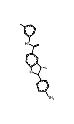 C=C(Nc1cccc(C)c1)c1ccc2c(c1)N(C)C(c1ccc(N)cc1)N2